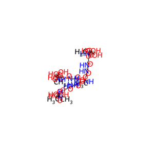 CNC(COCCC(=O)NCCCNC(=O)CCCCOCOC(CO)[C@@H](O)[C@@H](O)C(C)NC(C)=O)(COCCC(=O)NCCCNC(=O)CCCCO[C@H]1OC(CO)[C@@H](O)[C@@H](O)C1NC(C)=O)COCCC(=O)NCCCNC(=O)CCCCO[C@H]1OC(CO)[C@@H](O)[C@@H](O)C1NC(C)=O